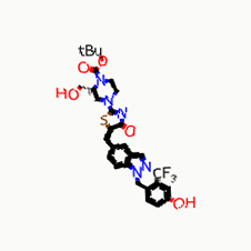 CC(C)(C)OC(=O)N1CCN(C2=NC(=O)C(=Cc3ccc4c(cnn4Cc4ccc(O)cc4C(F)(F)F)c3)S2)C[C@@H]1CO